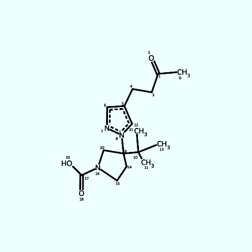 CC(=O)CCc1cnn(C2(C(C)(C)C)CCN(C(=O)O)C2)c1